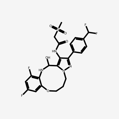 CS(=O)(=O)CC(=O)Nc1c(-c2ccc(C(F)F)cc2)nn2c1C(O)Nc1c(F)cc(F)cc1OCCC2